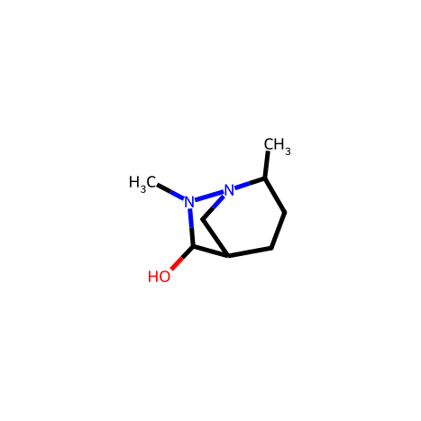 CC1CCC2CN1N(C)C2O